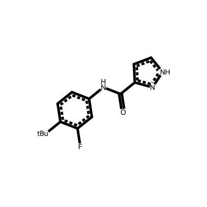 CC(C)(C)c1ccc(NC(=O)c2cc[nH]n2)cc1F